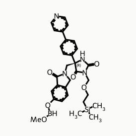 COBOc1ccc2c(c1)C(=O)N(C[C@@]1(c3ccc(-c4ccncc4)cc3)NC(=O)N(COCC[Si](C)(C)C)C1=O)C2